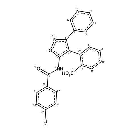 O=C(Nc1onc(-c2cccnc2)c1-c1ccccc1C(=O)O)c1ccc(Cl)cc1